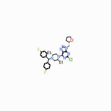 CC[C@H]1CN(C(c2ccc(F)cc2)c2ccc(F)cc2)[C@H](CC)CN1c1nc(Cl)nc2c1nnn2C[C@@H]1CCCO1